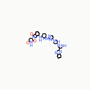 N=C/C(=C\NC1CCN(c2ccnc(NC3CCCC(Nc4cccc5c4CN(C4CCC(=O)NC4=O)C5=O)C3)n2)CC1)c1cnc2ccccc2n1